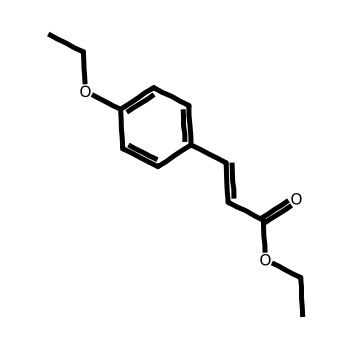 CCOC(=O)C=Cc1ccc(OCC)cc1